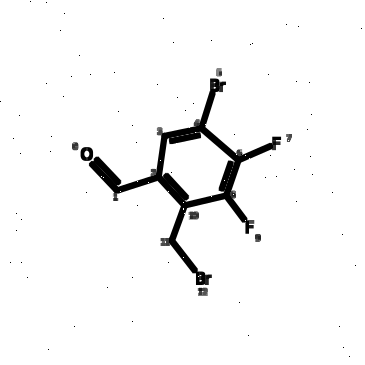 O=Cc1cc(Br)c(F)c(F)c1CBr